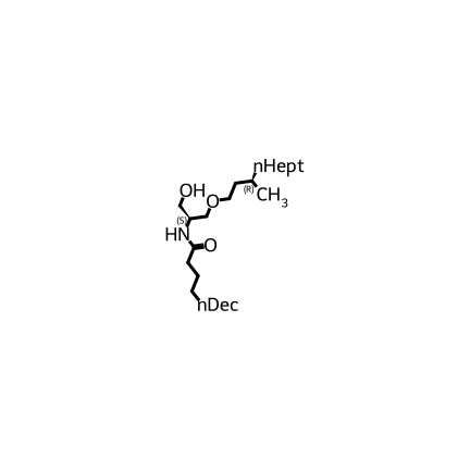 CCCCCCCCCCCCCC(=O)N[C@@H](CO)COCC[C@H](C)CCCCCCC